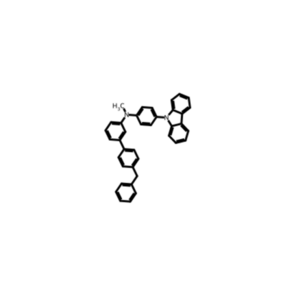 CN(c1ccc(-n2c3ccccc3c3ccccc32)cc1)c1cccc(-c2ccc(Cc3ccccc3)cc2)c1